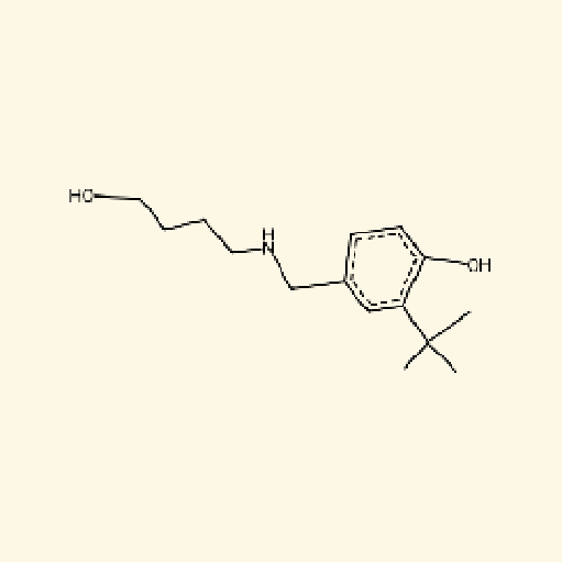 CC(C)(C)c1cc(CNCCCCO)ccc1O